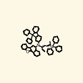 C=C/C(=C\C=C(/C)[Si](c1ccccc1)(c1ccccc1)c1ccccc1)N(c1ccc2c(c1)C(c1ccccc1)(c1ccccc1)c1ccccc1-2)c1cc2c3ccccc3oc2c2ccccc12